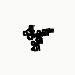 CONC(=O)c1cnc(NC(=O)C2CC2)cc1Nc1cccc(Cl)c1N(C)[S+](C)[O-]